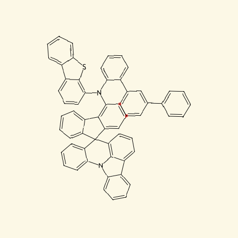 c1ccc(-c2cccc(-c3ccccc3N(c3cccc4c3-c3ccccc3C43c4ccccc4-n4c5ccccc5c5cccc3c54)c3cccc4c3sc3ccccc34)c2)cc1